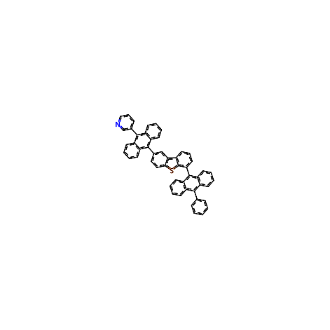 c1ccc(-c2c3ccccc3c(-c3cccc4c3sc3ccc(-c5c6ccccc6c(-c6cccnc6)c6ccccc56)cc34)c3ccccc23)cc1